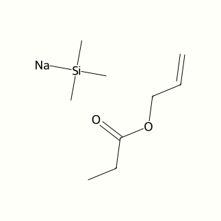 C=CCOC(=O)CC.C[Si](C)(C)[Na]